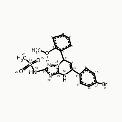 COc1ccccc1C1C=C(c2ccc(Br)cc2)Nc2nc(NS(C)(=O)=O)nn21